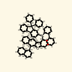 c1ccc(-c2ccccc2N(c2ccc3c(c2)C(c2ccccc2)(c2ccccc2)c2ccccc2-3)c2cccc3oc4c(-c5cccc6ccccc56)c5ccccc5cc4c23)cc1